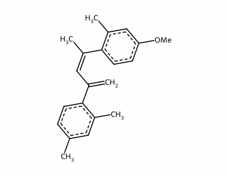 C=C(/C=C(/C)c1ccc(OC)cc1C)c1ccc(C)cc1C